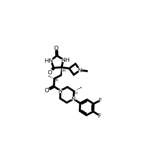 C[C@H](C[C@]1(C2CN(C)C2)NC(=O)NC1=O)C(=O)N1CCN(c2ccc(F)c(F)c2)[C@@H](C)C1